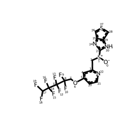 [O-][S+](Cc1cc(OCC(F)(F)C(F)(F)C(F)(F)C(F)F)ccn1)c1nc2cscc2[nH]1